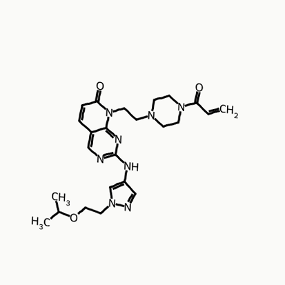 C=CC(=O)N1CCN(CCn2c(=O)ccc3cnc(Nc4cnn(CCOC(C)C)c4)nc32)CC1